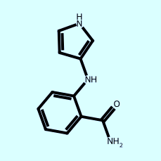 NC(=O)c1ccccc1Nc1cc[nH]c1